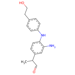 CC(C=O)c1ccc(Nc2ccc(CCO)cc2)c(N)c1